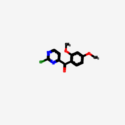 COc1ccc(C(=O)c2ccnc(Cl)n2)c(OC)c1